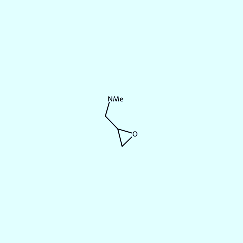 [CH2]NCC1CO1